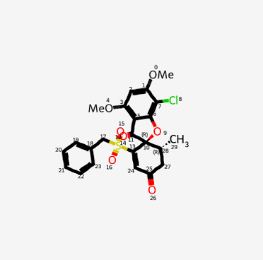 COc1cc(OC)c2c(c1Cl)O[C@]1(C2=O)C(S(=O)(=O)Cc2ccccc2)=CC(=O)C[C@H]1C